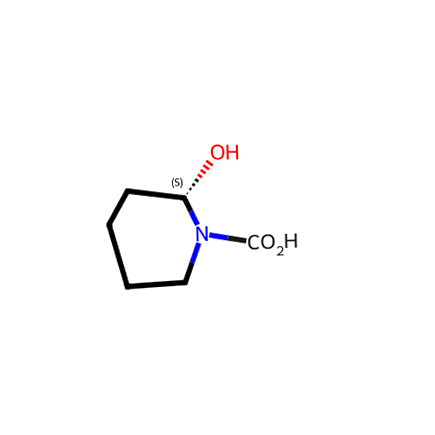 O=C(O)N1CCCC[C@@H]1O